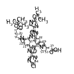 CC(C)(C)OC(=O)CC1Cc2cc3cc(-c4noc(-c5cnc(Cl)cn5)n4)ccc3n2C1.CC(C)Oc1cnc(-c2nc(-c3ccc4c(c3)cc3n4CCC3CC(=O)O)no2)cn1